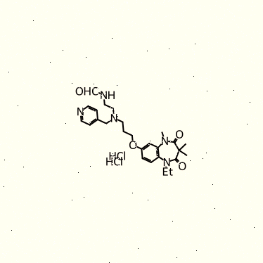 CCN1C(=O)C(C)(C)C(=O)N(C)c2cc(OCCCN(CCNC=O)Cc3ccncc3)ccc21.Cl.Cl